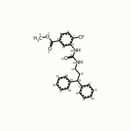 COC(=O)c1ccc(Cl)c(NC(=O)NCCC(c2ccccc2)c2ccccc2)c1